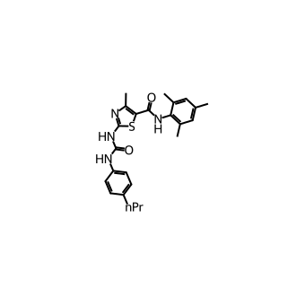 CCCc1ccc(NC(=O)Nc2nc(C)c(C(=O)Nc3c(C)cc(C)cc3C)s2)cc1